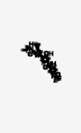 CCC(C)NC(=O)n1nc(-c2ccc(NC(=O)c3ccc(OC(F)(F)F)cc3)cc2O)cc1C1CC1